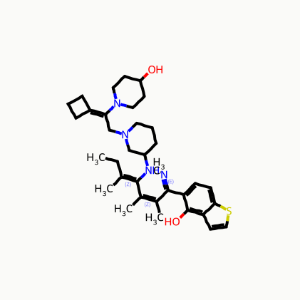 CC/C(C)=C(NC1CCCN(CC(=C2CCC2)N2CCC(O)CC2)C1)/C(C)=C(C)\C(=N/C)c1ccc2sccc2c1O